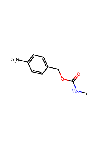 CCCCNC(=O)OCc1ccc([N+](=O)[O-])cc1